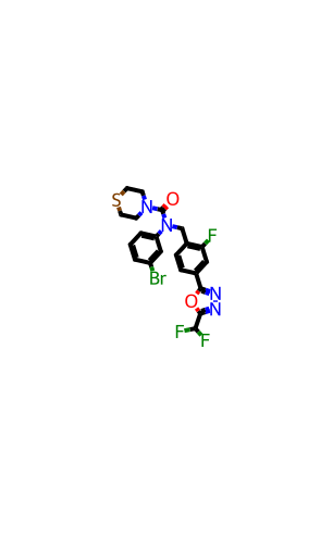 O=C(N1CCSCC1)N(Cc1ccc(-c2nnc(C(F)F)o2)cc1F)c1cccc(Br)c1